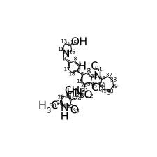 CCN(c1cc(-c2ccc(CN3CC[C@H](O)C3)cc2)cc(C(=O)NCc2c(C)cc(C)[nH]c2=O)c1C)C1CCCCCC1